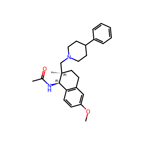 COc1ccc2c(c1)CC[C@](C)(CN1CCC(c3ccccc3)CC1)[C@@H]2NC(C)=O